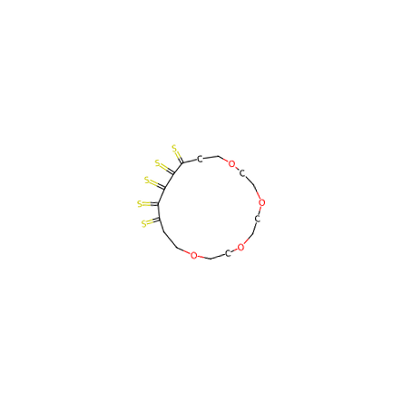 S=C1CCOCCOCCOCCOCCC(=S)C(=S)C(=S)C1=S